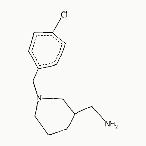 NCC1CCCN(Cc2ccc(Cl)cc2)C1